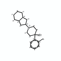 CCC1(c2ccccc2C)CCN(C2CC3CCCCC3C2)CC1